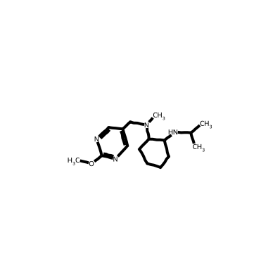 COc1ncc(CN(C)C2CCCCC2NC(C)C)cn1